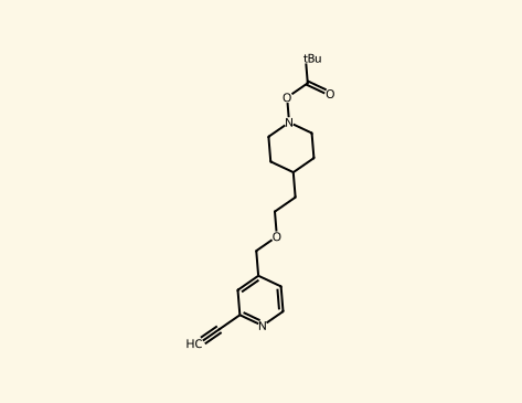 C#Cc1cc(COCCC2CCN(OC(=O)C(C)(C)C)CC2)ccn1